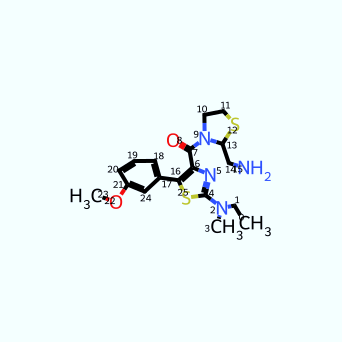 CCN(C)c1nc(C(=O)N2CCSC2CN)c(-c2cccc(OC)c2)s1